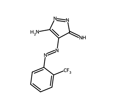 N=C1N=NC(N)=C1N=Nc1ccccc1C(F)(F)F